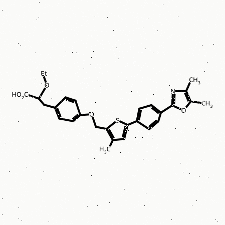 CCOC(Cc1ccc(OCc2sc(-c3ccc(-c4nc(C)c(C)o4)cc3)cc2C)cc1)C(=O)O